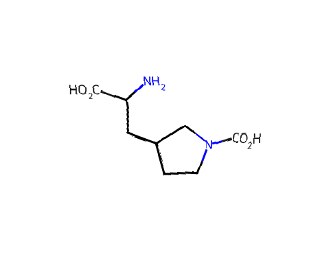 NC(CC1CCN(C(=O)O)C1)C(=O)O